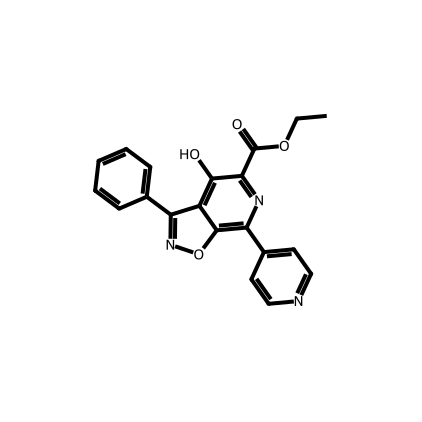 CCOC(=O)c1nc(-c2ccncc2)c2onc(-c3ccccc3)c2c1O